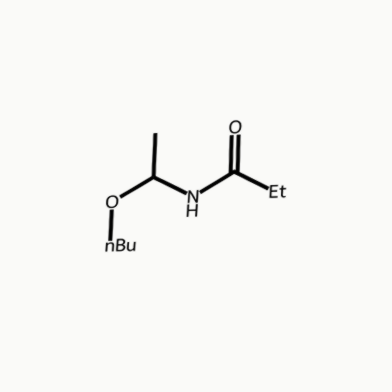 CCCCOC(C)NC(=O)CC